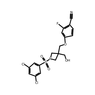 N#Cc1ccc(OCC2(CO)CN(S(=O)(=O)c3cc(Cl)cc(Cl)c3)C2)cc1F